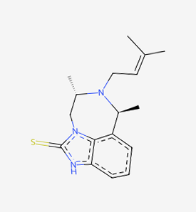 CC(C)=CCN1[C@@H](C)Cn2c(=S)[nH]c3cccc(c32)[C@@H]1C